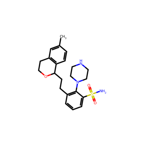 Cc1ccc2c(c1)CCOC2CCc1cccc(S(N)(=O)=O)c1N1CCNCC1